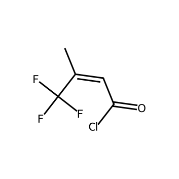 C/C(=C/C(=O)Cl)C(F)(F)F